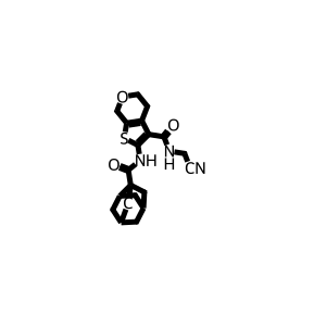 N#CCNC(=O)c1c(NC(=O)C23CC4CC(CC2C4)C3)sc2c1CCOC2